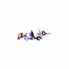 Cc1ncc(-c2sc(NC(=O)CC3CCOCC3)nc2C)cc1S(=O)(=O)N[C@H]1CC[C@@H](O)CC1